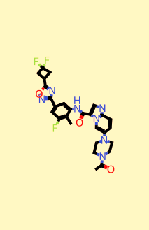 CC(=O)N1CCN(c2ccc3ncc(C(=O)Nc4cc(-c5noc(C6CC(F)(F)C6)n5)cc(F)c4C)n3c2)CC1